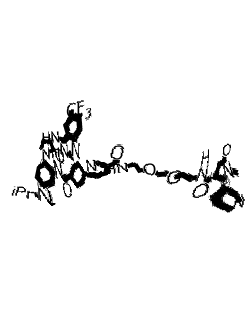 CC(C)N(C)[C@@H]1CC[C@H](N2CC[C@H](Nc3ncnc4ccc(C(F)(F)F)cc34)C2=O)[C@H](NC(=O)C2CCC(c3ccc(C(=O)NCCOCCOCCNC(=O)[C@H]4CC(=O)N(C)[C@@H]4c4cccnc4)cn3)CC2)C1